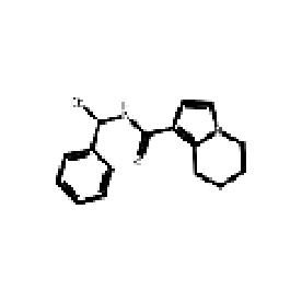 CC[C@@H](NC(=O)c1ccn2c1CCCC2)c1ccccc1